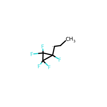 CC[CH]C1(F)C(F)(F)C1(F)F